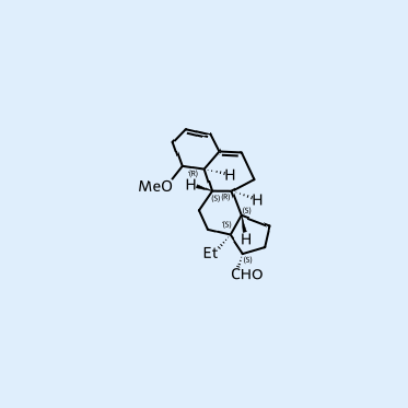 CC[C@]12CC[C@H]3[C@@H](CC=C4C=CCC(OC)[C@@H]43)[C@@H]1CC[C@@H]2C=O